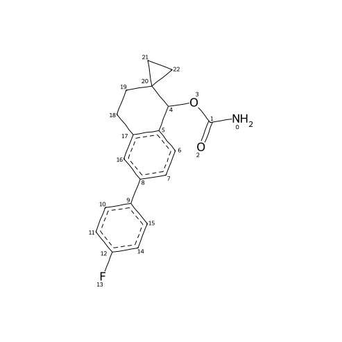 NC(=O)OC1c2ccc(-c3ccc(F)cc3)cc2CCC12CC2